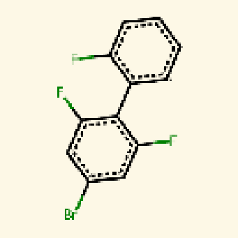 Fc1ccc[c]c1-c1c(F)cc(Br)cc1F